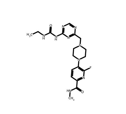 CCNC(=O)Nc1ncnc(CN2CCN(c3ccc(C(=O)NC)nc3F)CC2)n1